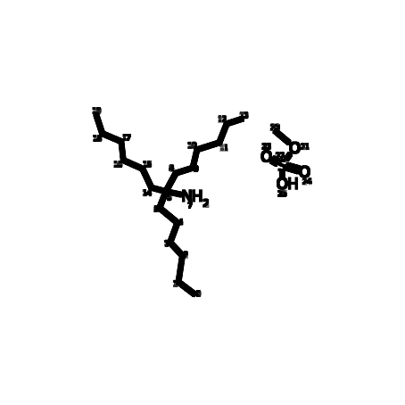 CCCCCCC(N)(CCCCCC)CCCCCC.COS(=O)(=O)O